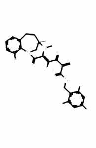 C=C(C(=O)NCc1c(F)cc(F)cc1F)C(=O)/C(O)=C1/C(=O)N2C[C@H](CCc3cccc(F)c32)N1C